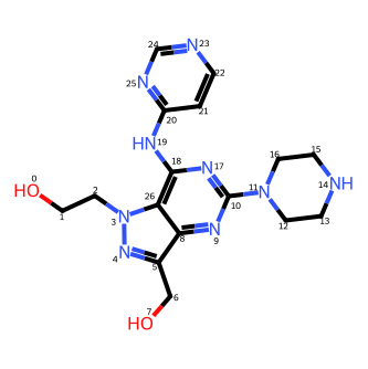 OCCn1nc(CO)c2nc(N3CCNCC3)nc(Nc3ccncn3)c21